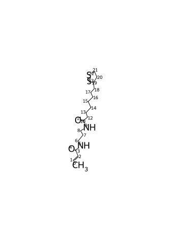 CC=CC(=O)NCCCNC(=O)CCCCCCCC1CCSS1